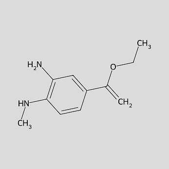 C=C(OCC)c1ccc(NC)c(N)c1